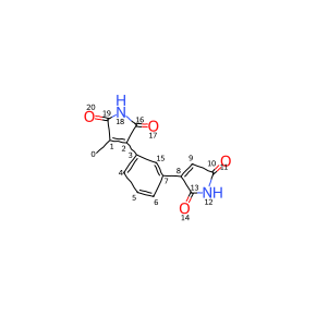 CC1=C(c2cccc(C3=CC(=O)NC3=O)c2)C(=O)NC1=O